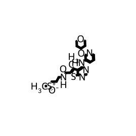 Cc1c(C(=O)NCCC[S+](C)[O-])sc2ncnc(Nc3cccnc3OC3CCOCC3)c12